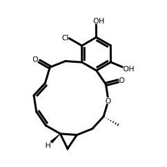 C[C@@H]1CC2C[C@@H]2/C=C\C=C\C(=O)Cc2c(Cl)c(O)cc(O)c2C(=O)O1